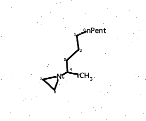 CCCCCCCCC(C)N1CC1